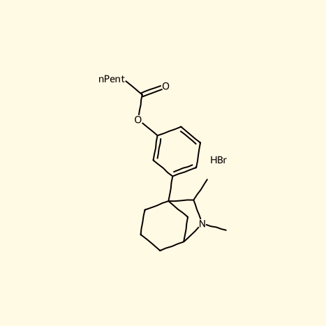 Br.CCCCCC(=O)Oc1cccc(C23CCCC(C2)N(C)C3C)c1